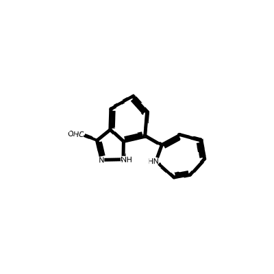 O=Cc1n[nH]c2c(C3=CC=CC=CN3)cccc12